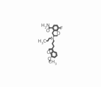 CCCN(CCCc1coc2c(OC)cccc12)C1COc2c(F)ccc(C(N)=O)c2C1